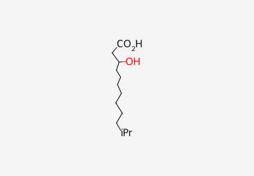 CC(C)CCCCCCCC(O)CC(=O)O